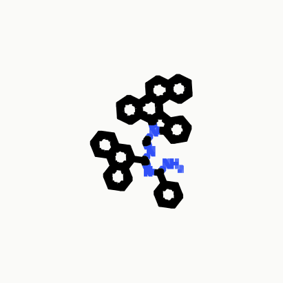 NC(/N=C(\N=C\n1c2ccccc2c2c3c4ccccc4ccc3c3ccccc3c21)c1cc2ccccc2c2ccccc12)c1ccccc1